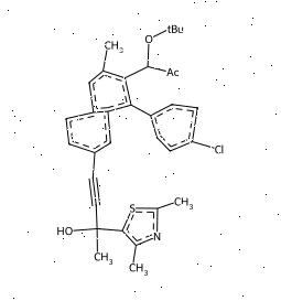 CC(=O)C(OC(C)(C)C)c1c(C)cc2ccc(C#CC(C)(O)c3sc(C)nc3C)cc2c1-c1ccc(Cl)cc1